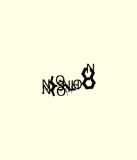 Cc1nn(C)c(C)c1S(=O)(=O)N[C@@H](C)COc1cccc2cnccc12